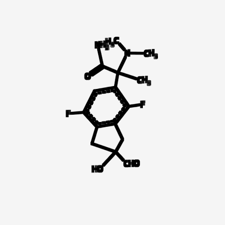 CN(C)C(C)(C(N)=O)c1cc(F)c2c(c1F)CC(O)(C=O)C2